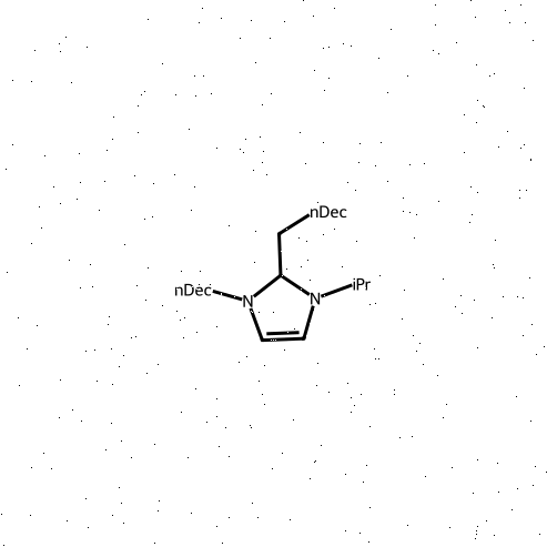 CCCCCCCCCCCC1N(CCCCCCCCCC)C=CN1C(C)C